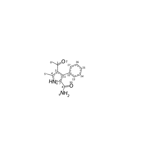 CC(=O)c1c(C)[nH]c(C(N)=O)c1-c1ccccc1